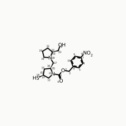 O=C(OCc1ccc([N+](=O)[O-])cc1)N1C[C@@H](S)C[C@H]1CN1CCC[C@H]1CO